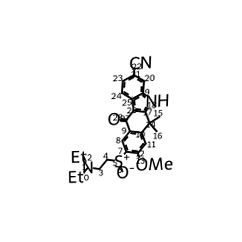 CCN(CC)CC[S+]([O-])c1cc2c(cc1OC)C(C)(C)c1[nH]c3cc(C#N)ccc3c1C2=O